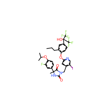 CCCc1cc(C(O)(C(F)(F)F)C(F)(F)F)ccc1Oc1cc(CN2C(=O)NC(C)(c3ccc(OC(C)C)c(F)c3)C2=O)c(I)cn1